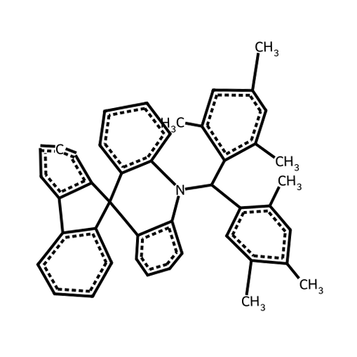 Cc1cc(C)c(C(c2cc(C)c(C)cc2C)N2c3ccccc3C3(c4ccccc4-c4ccccc43)c3ccccc32)c(C)c1